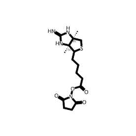 C[C@]12CSC(CCCCC(=O)ON3C(=O)CCC3=O)[C@@]1(C)NC(=N)N2